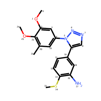 COc1cc(-n2nncc2-c2ccc(SC)c(N)c2)cc(C)c1OC